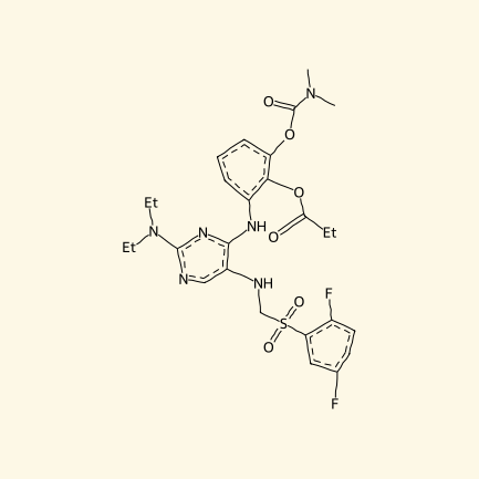 CCC(=O)Oc1c(Nc2nc(N(CC)CC)ncc2NCS(=O)(=O)c2cc(F)ccc2F)cccc1OC(=O)N(C)C